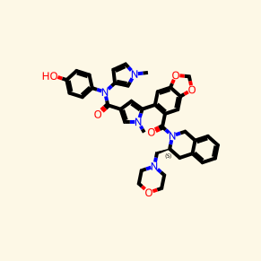 Cn1ccc(N(C(=O)c2cc(-c3cc4c(cc3C(=O)N3Cc5ccccc5C[C@H]3CN3CCOCC3)OCO4)n(C)c2)c2ccc(O)cc2)c1